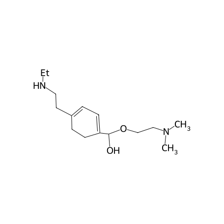 CCNCCC1=CC=C(C(O)OCCN(C)C)CC1